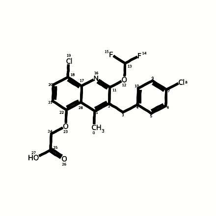 Cc1c(Cc2ccc(Cl)cc2)c(OC(F)F)nc2c(Cl)ccc(OCC(=O)O)c12